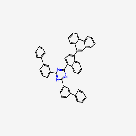 c1ccc(-c2cccc(-c3nc(-c4cccc(-c5ccccc5)c4)nc(-c4ccc(-c5cc6ccccc6c6ccccc56)c5ccccc45)n3)c2)cc1